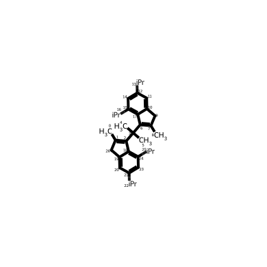 CC1=C(C(C)(C)C2=C(C)[CH]c3cc(C(C)C)cc(C(C)C)c32)c2c(cc(C(C)C)cc2C(C)C)[CH]1